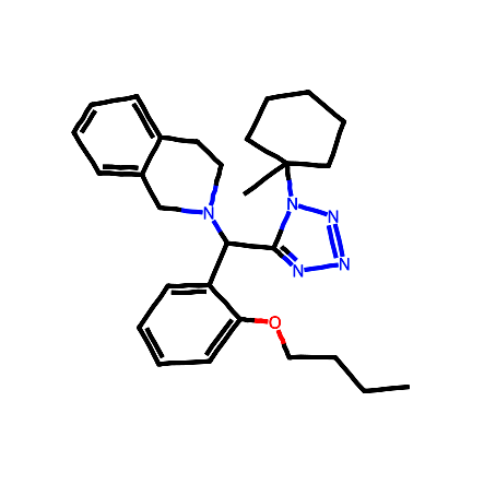 CCCCOc1ccccc1C(c1nnnn1C1(C)CCCCC1)N1CCc2ccccc2C1